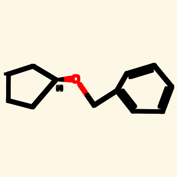 [CH]1CC[C@H](OCc2ccccc2)C1